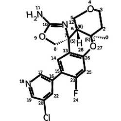 C[C@@]12CCOC[C@H]1[C@@]1(COC(N)=N1)c1cc(-c3cncc(Cl)c3)c(F)cc1O2